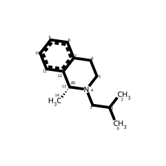 CC(C)CN1CCc2ccccc2[C@H]1C